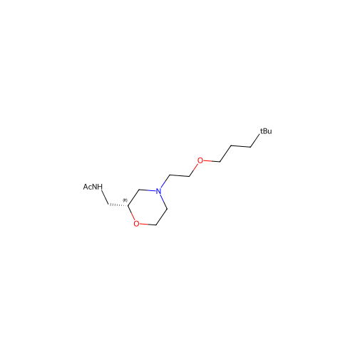 CC(=O)NC[C@@H]1CN(CCOCCCC(C)(C)C)CCO1